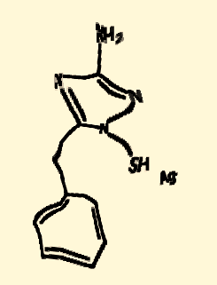 Nc1nc(Cc2ccccc2)n(S)n1.[Ag]